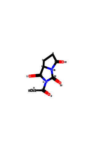 CCCCCCCCC(=O)N1C(=O)C2CCC(=O)N2C1=O